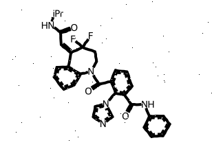 CC(C)NC(=O)C=C1c2ccccc2N(C(=O)c2cccc(C(=O)Nc3ccccc3)c2-n2ccnc2)CCC1(F)F